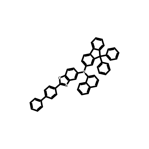 c1ccc(-c2ccc(-c3nc4cc(N(c5ccc6c(c5)C(c5ccccc5)(c5ccccc5)c5ccccc5-6)c5cccc6ccccc56)ccc4o3)cc2)cc1